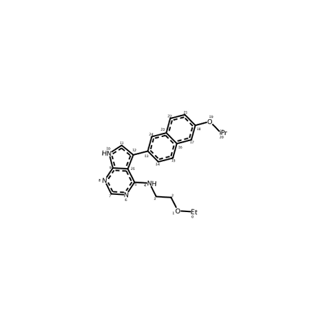 CCOCCNc1ncnc2[nH]cc(-c3ccc4cc(OC(C)C)ccc4c3)c12